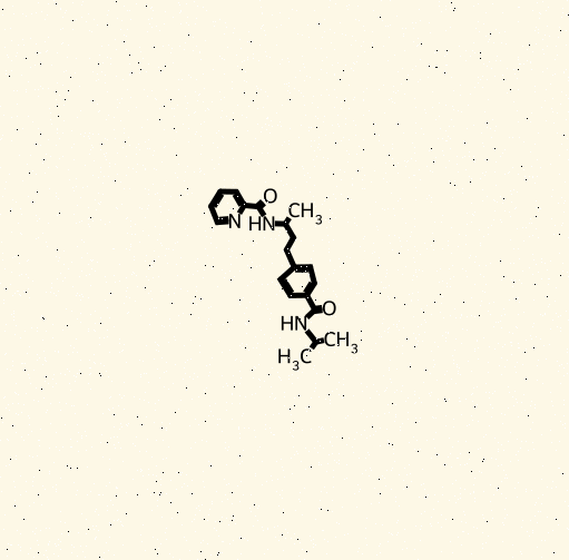 CC(C)NC(=O)c1ccc(CCC(C)NC(=O)c2ccccn2)cc1